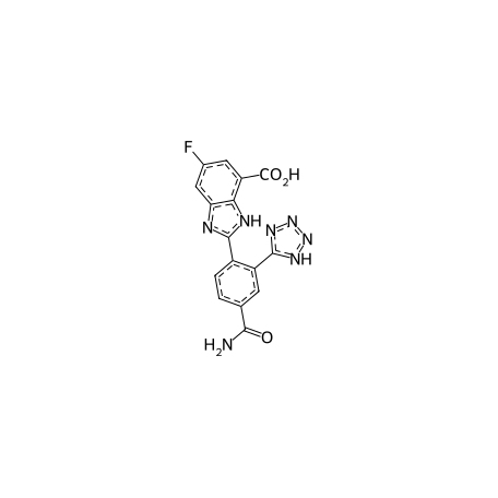 NC(=O)c1ccc(-c2nc3cc(F)cc(C(=O)O)c3[nH]2)c(-c2nnn[nH]2)c1